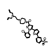 C=CCN(CC=C)CCN1CCN(C(=O)c2cc(-c3ccc(-c4cccc(S(C)(=O)=O)c4)s3)n(-c3ccccc3Cl)n2)CC1